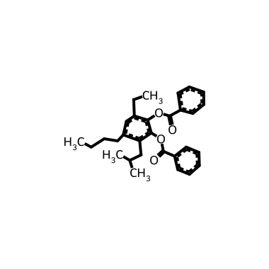 CCCCc1cc(CC)c(OC(=O)c2ccccc2)c(OC(=O)c2ccccc2)c1CC(C)C